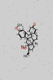 C#C[C@]1(O)CC[C@H]2[C@@H]3CCC4=CC(=O)CC[C@@]45Cc4cc(OC)ccc4C(C[C@@]21C)C35